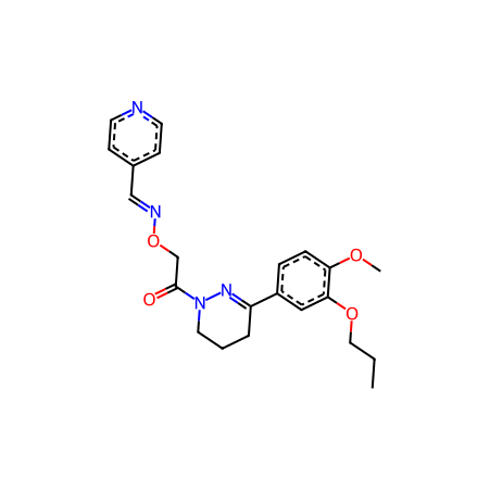 CCCOc1cc(C2=NN(C(=O)CON=Cc3ccncc3)CCC2)ccc1OC